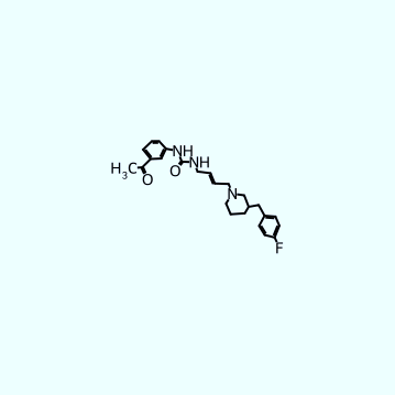 CC(=O)c1cccc(NC(=O)NCC=CCN2CCCC(Cc3ccc(F)cc3)C2)c1